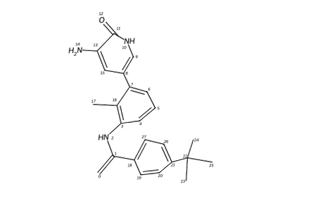 C=C(Nc1cccc(-c2c[nH]c(=O)c(N)c2)c1C)c1ccc(C(C)(C)C)cc1